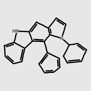 C1=CCC(n2ccc3cc4[nH]c5ccccc5c4c(-c4ccccc4)c32)C=C1